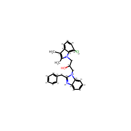 Cc1c(C)n(CC(O)Cn2c(Cc3ccccc3)nc3ccccc32)c2c(Cl)cccc12